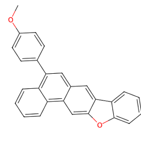 COc1ccc(-c2cc3cc4c(cc3c3ccccc23)oc2ccccc24)cc1